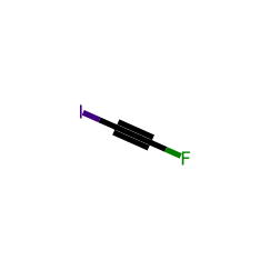 FC#CI